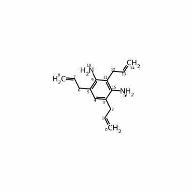 C=CCc1cc(CC=C)c(N)c(CC=C)c1N